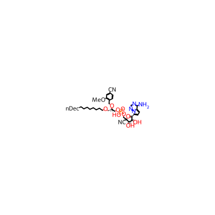 CCCCCCCCCCCCCCCCCCOC[C@@H](COP(=O)(O)OC[C@@]1(C#N)O[C@@H](c2ccc3c(N)ncnn23)[C@H](O)[C@@H]1O)OCc1ccc(C#N)cc1OC